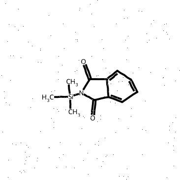 C[Si](C)(C)N1C(=O)c2ccccc2C1=O